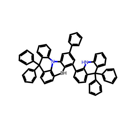 B1c2cccc3c2N(c2ccccc2C3(c2ccccc2)c2ccccc2)c2cc(-c3ccccc3)cc(-c3cccc4c3Nc3ccccc3C4(c3ccccc3)c3ccccc3)c21